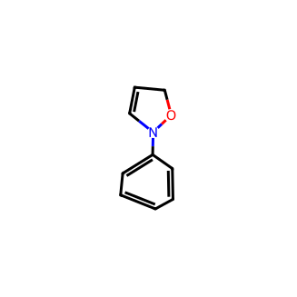 C1=CN(c2ccccc2)OC1